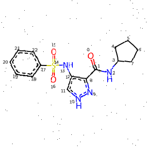 O=C(NC1CCCC1)c1n[nH]cc1NS(=O)(=O)c1ccccc1